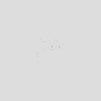 CC1Cc2nc(C(=O)N3CCN(S(=O)(=O)c4sc5cc(Cl)ccc5c4CN(C)C)CC3CC(=O)N(C)C)oc2CN1